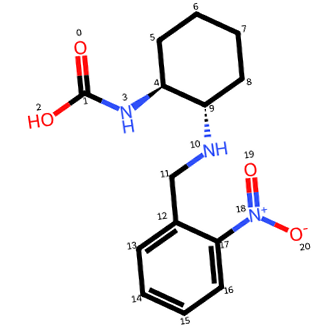 O=C(O)N[C@H]1CCCC[C@@H]1NCc1ccccc1[N+](=O)[O-]